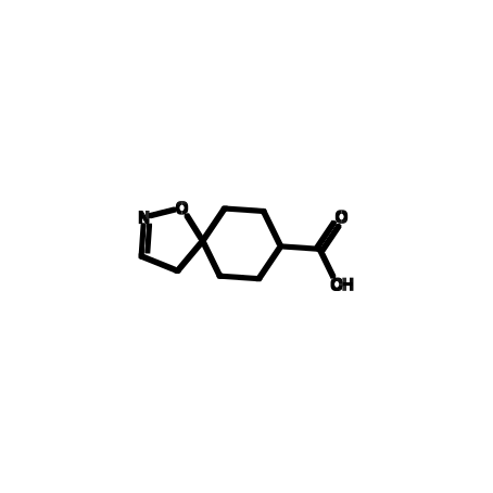 O=C(O)C1CCC2(CC=NO2)CC1